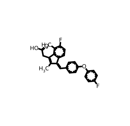 CC1=C(CC(=O)O)c2c(ccc(F)c2C)/C1=C\c1ccc(Oc2ccc(F)cc2)cc1